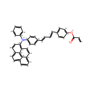 C=CC(=O)Oc1ccc(/C=C/C=C/c2ccc(N(c3ccccc3)c3ccc4ccc5cccc6ccc3c4c56)cc2)cc1